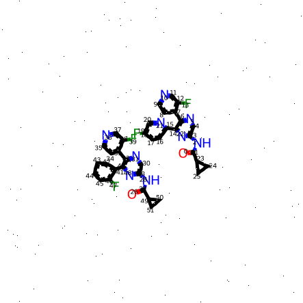 O=C(Nc1cnc(-c2ccncc2F)c(-c2ccc(F)cn2)n1)C1CC1.O=C(Nc1cnc(-c2ccncc2F)c(-c2ccccc2F)n1)C1CC1